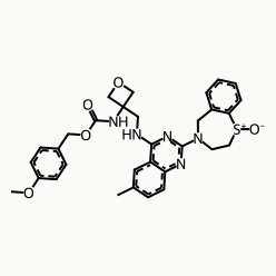 COc1ccc(COC(=O)NC2(CNc3nc(N4CC[S+]([O-])c5ccccc5C4)nc4ccc(C)cc34)COC2)cc1